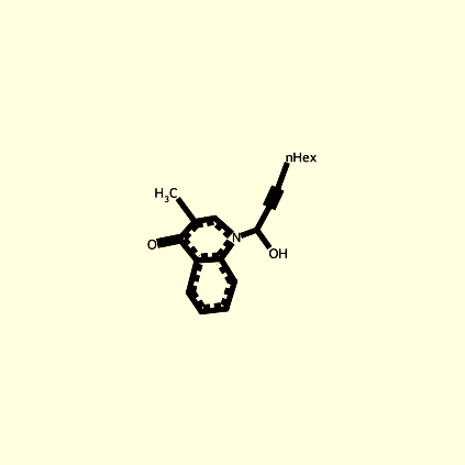 CCCCCCC#CC(O)n1cc(C)c(=O)c2ccccc21